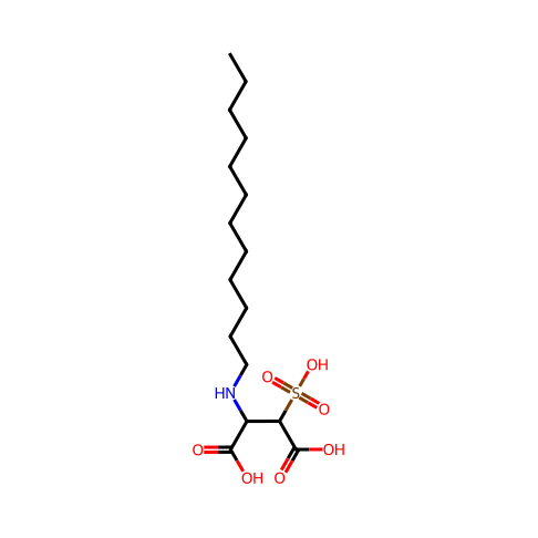 CCCCCCCCCCCCNC(C(=O)O)C(C(=O)O)S(=O)(=O)O